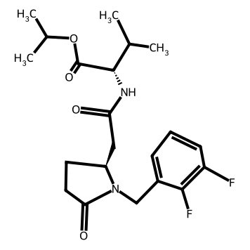 CC(C)OC(=O)[C@@H](NC(=O)C[C@@H]1CCC(=O)N1Cc1cccc(F)c1F)C(C)C